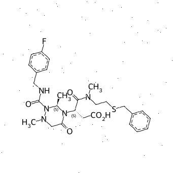 C[C@H]1N([C@@H](CC(=O)O)C(=O)N(C)CCSCc2ccccc2)C(=O)CN(C)N1C(=O)NCc1ccc(F)cc1